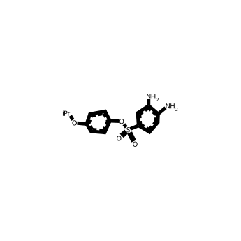 CC(C)Oc1ccc(OS(=O)(=O)c2ccc(N)c(N)c2)cc1